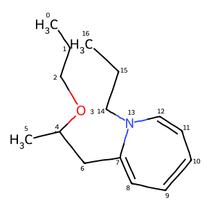 CCCO[C](C)CC1=CC=CC=CN1CCC